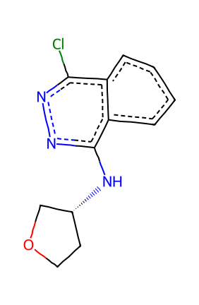 Clc1nnc(N[C@@H]2CCOC2)c2ccccc12